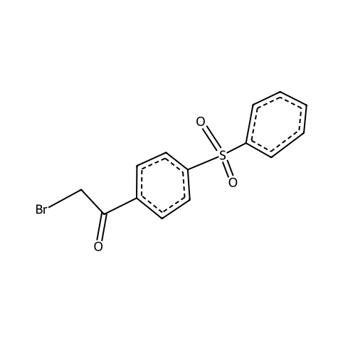 O=C(CBr)c1ccc(S(=O)(=O)c2ccccc2)cc1